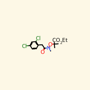 CCOC(=O)C(C)(C)ON(C)C(=O)Cc1ccc(Cl)cc1Cl